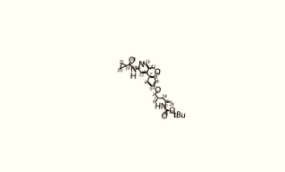 CC(COc1ccc2c(c1)OCc1cnc(NC(=O)C3CC3)cc1-2)CC(C)NC(=O)OC(C)(C)C